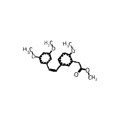 COC(=O)Cc1cc(/C=C\c2cc(OC)cc(OC)c2)ccc1OC